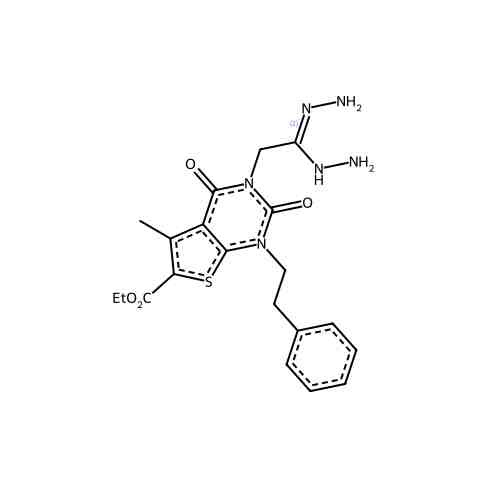 CCOC(=O)c1sc2c(c1C)c(=O)n(C/C(=N/N)NN)c(=O)n2CCc1ccccc1